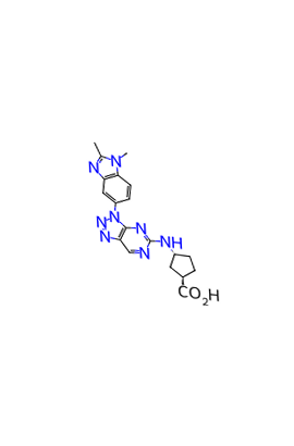 Cc1nc2cc(-n3nnc4cnc(N[C@@H]5CC[C@@H](C(=O)O)C5)nc43)ccc2n1C